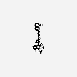 CC(C)OCc1c(F)cccc1C(C(=O)O)N1CC[C@@H](OCCCCc2ccc3c(n2)NCCC3)C1